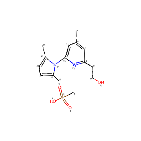 CS(=O)(=O)O.Cc1cc(CCO)nc(-n2c(C)ccc2C)c1